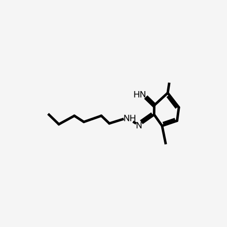 CCCCCCN/N=C1\C(=N)C(C)=CC=C1C